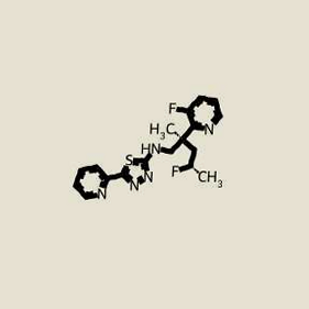 C[C@H](F)C[C@@](C)(CNc1nnc(-c2ccccn2)s1)c1ncccc1F